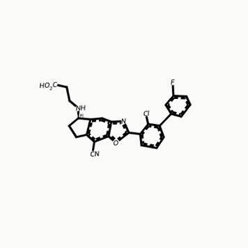 N#Cc1c2c(cc3nc(-c4cccc(-c5cccc(F)c5)c4Cl)oc13)[C@H](NCCC(=O)O)CC2